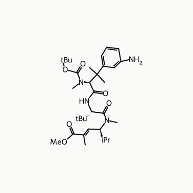 COC(=O)/C(C)=C/[C@H](C(C)C)N(C)C(=O)[C@@H](NC(=O)[C@@H](N(C)C(=O)OC(C)(C)C)C(C)(C)c1cccc(N)c1)C(C)(C)C